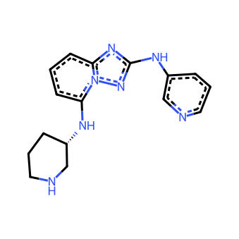 c1cncc(Nc2nc3cccc(N[C@H]4CCCNC4)n3n2)c1